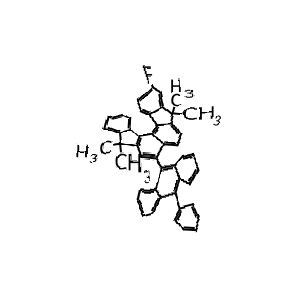 CC1(C)c2cc(F)ccc2-c2c1ccc1c(-c3c4ccccc4c(-c4ccccc4)c4ccccc34)cc3c(c21)-c1ccccc1C3(C)C